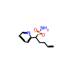 C=CCCC(c1ccccn1)S(N)(=O)=O